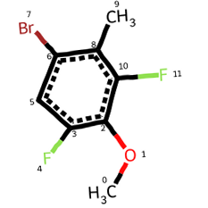 COc1c(F)cc(Br)c(C)c1F